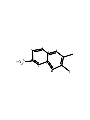 Cc1cc2ccc(C(=O)O)cc2cc1C